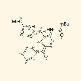 CCCCC(=O)Nc1ccc(C(=O)c2ccccc2)cc1NC(=S)NC(=O)OC